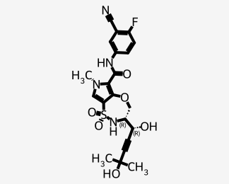 Cn1cc2c(c1C(=O)Nc1ccc(F)c(C#N)c1)OC[C@H]([C@H](O)C#CC(C)(C)O)NS2(=O)=O